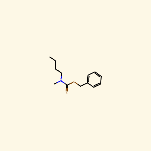 CCCCN(C)C(=S)SCc1ccccc1